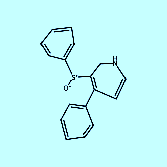 [O-][S+](C1=C(c2ccccc2)C=CNC1)c1ccccc1